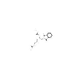 CC(C)(C)OC(=O)NC[C@@H](F)C[C@H](CN1C(=O)c2ccccc2C1=O)NC(=O)OC(C)(C)C